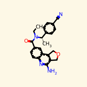 CCN(C(=O)c1ccc2nc(N)c3c(c2c1)COC3)[C@@H](C)c1ccc(C#N)cc1